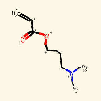 C=CC(=O)OCCCN(CC)C(C)C